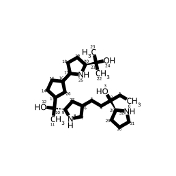 CCC(O)(CCC1CN[C@H](C(C)(O)C2CCC(C3CC[C@@H](C(C)(C)O)N3)C2)C1)[C@@H]1CCCN1